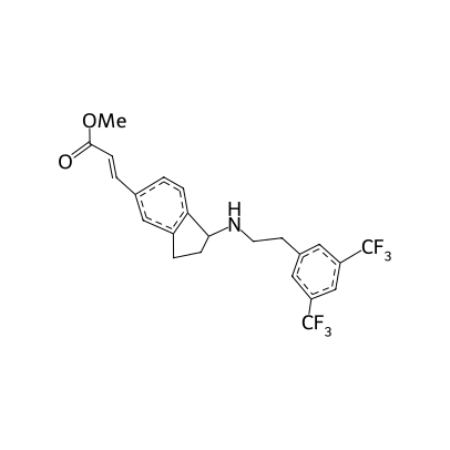 COC(=O)/C=C/c1ccc2c(c1)CCC2NCCc1cc(C(F)(F)F)cc(C(F)(F)F)c1